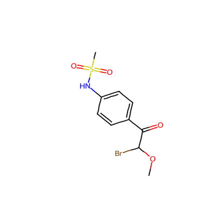 COC(Br)C(=O)c1ccc(NS(C)(=O)=O)cc1